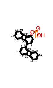 O=[PH](O)Oc1ccc(-c2cccc3c2-c2ccccc2-3)c2c1-c1ccccc1-2